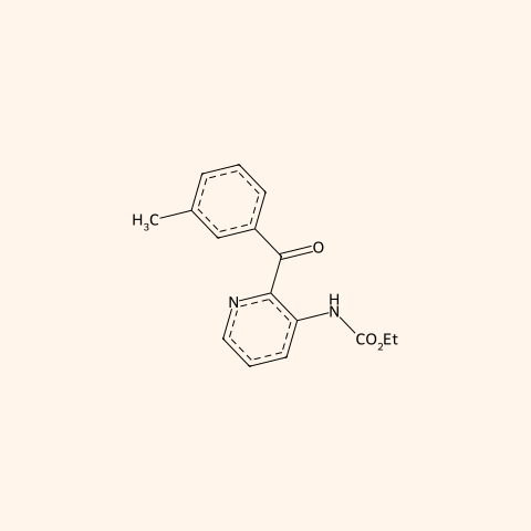 CCOC(=O)Nc1cccnc1C(=O)c1cccc(C)c1